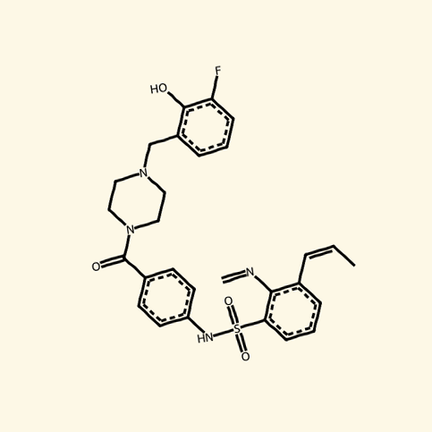 C=Nc1c(/C=C\C)cccc1S(=O)(=O)Nc1ccc(C(=O)N2CCN(Cc3cccc(F)c3O)CC2)cc1